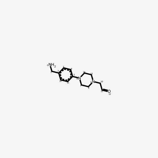 NCc1ccc(N2CCN(CC=O)CC2)cc1